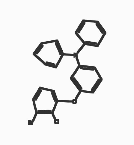 Clc1c(Br)cccc1Oc1cccc(N(c2ccccc2)c2ccccc2)c1